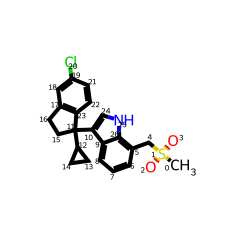 CS(=O)(=O)Cc1cccc2c(C3(C4CC4)CCc4cc(Cl)ccc43)c[nH]c12